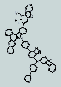 C=Cc1c(/C=C(\C)c2ccc3c(c2)c2c4ccccc4c4cc5ccccc5cc4c2n3-c2ccc(-c3ccc(N(c4ccc(-c5ccccc5)cc4)c4ccc5oc6ccccc6c5c4)c4nsnc34)cc2)oc2ccccc12